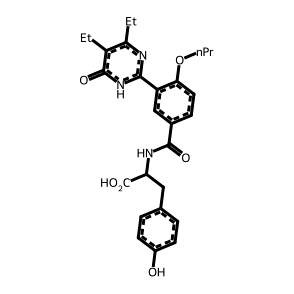 CCCOc1ccc(C(=O)NC(Cc2ccc(O)cc2)C(=O)O)cc1-c1nc(CC)c(CC)c(=O)[nH]1